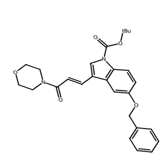 CC(C)(C)OC(=O)n1cc(C=CC(=O)N2CCOCC2)c2cc(OCc3ccccc3)ccc21